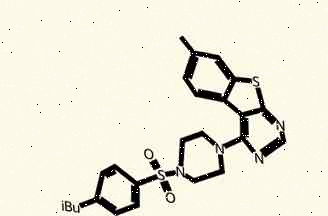 CCC(C)c1ccc(S(=O)(=O)N2CCN(c3ncnc4sc5cc(C)ccc5c34)CC2)cc1